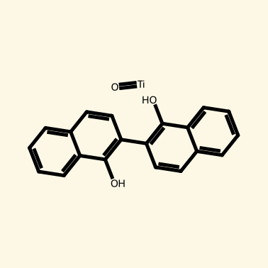 Oc1c(-c2ccc3ccccc3c2O)ccc2ccccc12.[O]=[Ti]